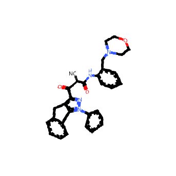 N#CC(C(=O)Nc1ccccc1CN1CCOCC1)C(=O)c1nn(-c2ccccc2)c2c1Cc1ccccc1-2